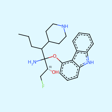 CCCC(C1CCNCC1)C(N)(Oc1cccc2[nH]c3ccccc3c12)[C@H](O)CF